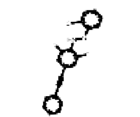 Fc1cc(C#Cc2ccccc2)cc(F)c1NSc1ccccc1Cl